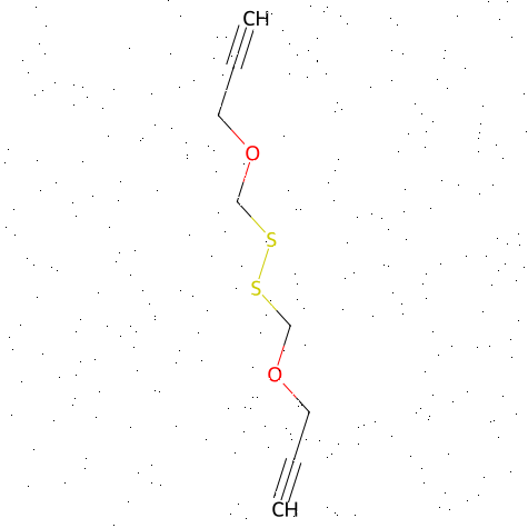 C#CCOCSSCOCC#C